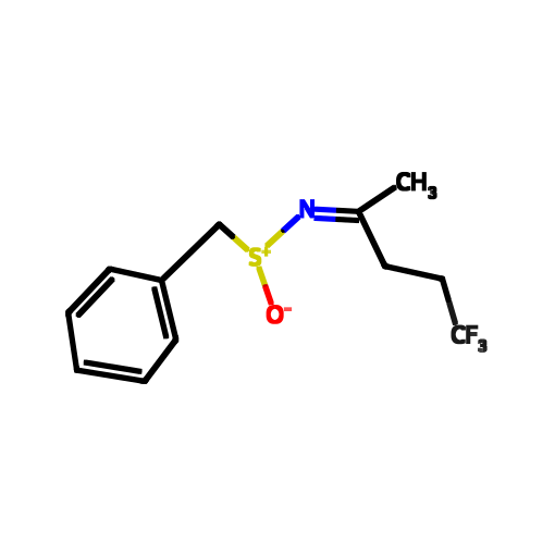 CC(CCC(F)(F)F)=N[S+]([O-])Cc1ccccc1